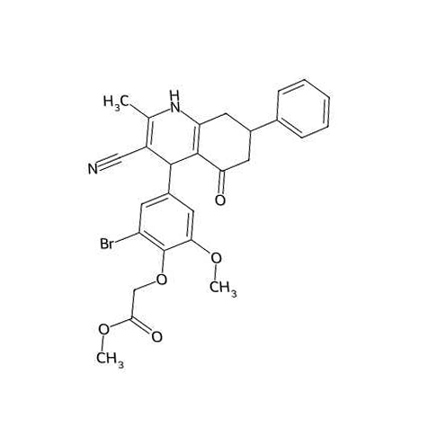 COC(=O)COc1c(Br)cc(C2C(C#N)=C(C)NC3=C2C(=O)CC(c2ccccc2)C3)cc1OC